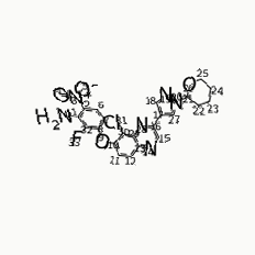 Nc1c([N+](=O)[O-])ccc(Oc2ccc3ncc(-c4cnn(C5CCCCO5)c4)nc3c2Cl)c1F